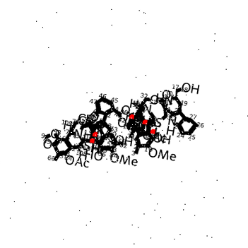 COc1c(C)cc2c(c1O)[C@@H]1[C@@H]3[C@@H]4SC[C@]5(N[C@@H](CO)Cc6c5[nH]c5ccccc65)C(=O)OC[C@@H](c5c6c(c(C)c(OC(C)=O)c54)OC(c4cccc5oc7c(c45)C[C@H](CO)N[C@]74CS[C@@H]5c7c(OC(C)=O)c(C)c8c(c7[C@H](COC4=O)N4[C@@H]5[C@H]5c7c(cc(C)c(OC)c7O)C7(C)[C@@H]([C@@H]4C#N)N57)OCO8)O6)N3[C@@H](C)[C@H]3N1C23C